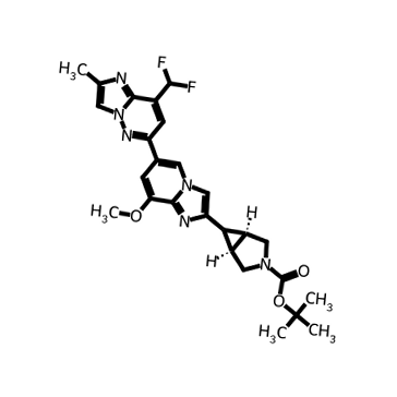 COc1cc(-c2cc(C(F)F)c3nc(C)cn3n2)cn2cc(C3[C@H]4CN(C(=O)OC(C)(C)C)C[C@@H]34)nc12